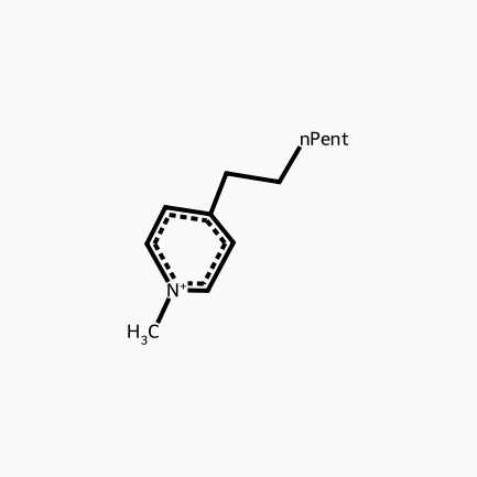 CCCCCCCc1cc[n+](C)cc1